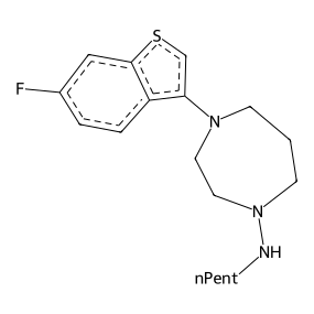 CCCCCNN1CCCN(c2csc3cc(F)ccc23)CC1